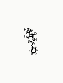 O=C(NC1C(=O)N(S(=O)(=O)O)C1CF)OCc1ccccc1